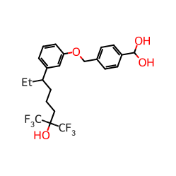 CCC(CCCC(O)(C(F)(F)F)C(F)(F)F)c1cccc(OCc2ccc(C(O)O)cc2)c1